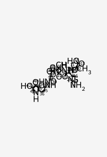 C[C@H]1[C@H](NC(=O)C(=NOC(C)(C)C(=O)O)c2csc(N)n2)C(=O)N1[P@@](=O)(O)OCC(=O)NNC(=O)/C=C\c1cc(=O)c(O)c[nH]1